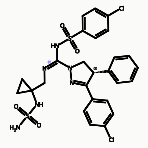 NS(=O)(=O)NC1(C/N=C(/NS(=O)(=O)c2ccc(Cl)cc2)N2C[C@H](c3ccccc3)C(c3ccc(Cl)cc3)=N2)CC1